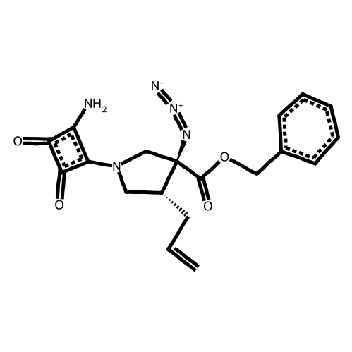 C=CC[C@@H]1CN(c2c(N)c(=O)c2=O)C[C@]1(N=[N+]=[N-])C(=O)OCc1ccccc1